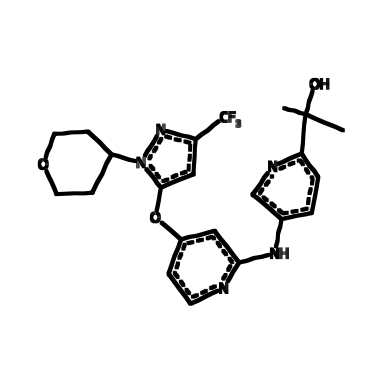 CC(C)(O)c1ccc(Nc2cc(Oc3cc(C(F)(F)F)nn3C3CCOCC3)ccn2)cn1